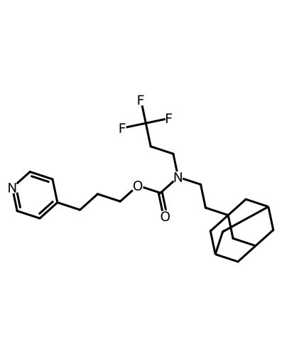 O=C(OCCCc1ccncc1)N(CCC(F)(F)F)CCC12CC3CC(CC(C3)C1)C2